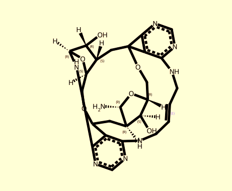 N[C@@H]1O[C@@H]2COC34C[C@H]5[C@@H](O)[C@@H]6Nc7ncnc(c7C(C[C@@H]1[C@@H]2O)OC[C@H]5O6)NC/C=C/CNc1ncnc3c14